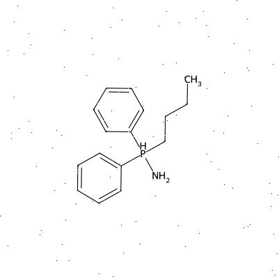 CCCC[PH](N)(c1ccccc1)c1ccccc1